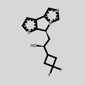 O[C@@H](C[C@H]1c2sccc2-c2cncn21)C1CC(F)(F)C1